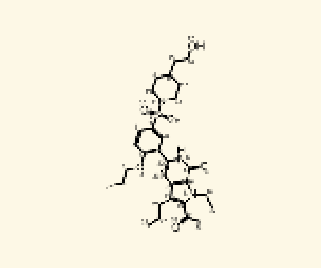 CCCOc1ccc(S(=O)(=O)N2CCC(CCO)CC2)cc1-c1nc2c(CCC)c(C(C)=O)n(CC)c2c(=O)[nH]1